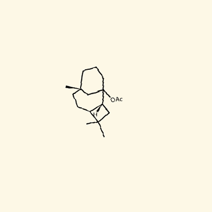 CC(=O)OC12CCC[C@@](C)(CCC3[C@H]1CC3(C)C)C2